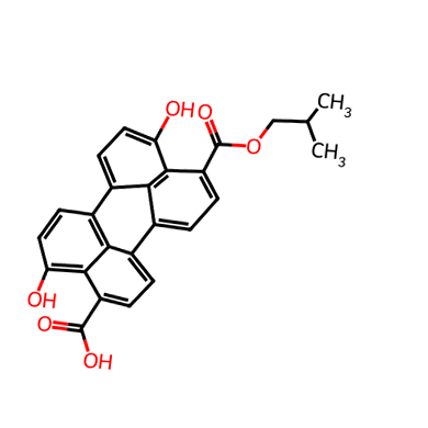 CC(C)COC(=O)c1ccc2c3ccc(C(=O)O)c4c(O)ccc(c5ccc(O)c1c52)c43